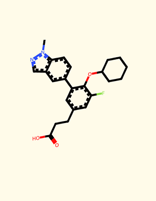 Cn1ncc2cc(-c3cc(CCC(=O)O)cc(F)c3OC3CCCCC3)ccc21